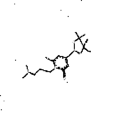 Cc1cc(B2OC(C)(C)C(C)(C)O2)cc(=O)n1CCCN(C)C